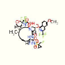 COc1ccc2c(O[C@@H]3C[C@H]4C(=O)N[C@]5(C(=O)NS(=O)(=O)C6(CF)CC6)C[C@H]5C=CCC[C@H](C)C[C@@H](C)[C@H](N(C(=O)O)C5(C(F)(F)F)CCCOC5)C(=O)N4C3)nc(C(F)(F)F)cc2c1